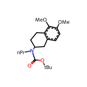 CCCN(C(=O)OC(C)(C)C)C1CCc2c(ccc(OC)c2OC)C1